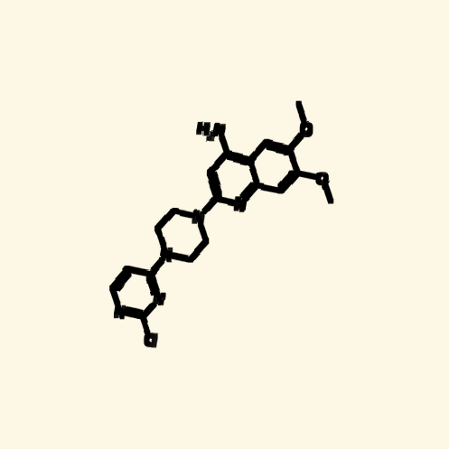 COc1cc2nc(N3CCN(c4ccnc(Cl)n4)CC3)cc(N)c2cc1OC